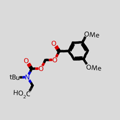 COc1cc(OC)cc(C(=O)OCOC(=O)N(CC(=O)O)C(C)(C)C)c1